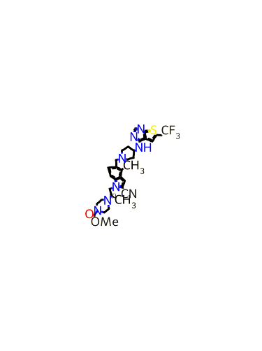 COC(=O)N1CCN([C@@H](C)Cn2c(C#N)cc3c(C)c(CN4CCC(Nc5ncnc6sc(CC(F)(F)F)cc56)CC4)ccc32)CC1